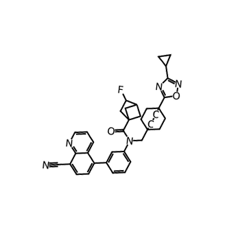 N#Cc1ccc(-c2cccc(N(CC34CCC(c5nc(C6CC6)no5)(CC3)CC4)C(=O)C34CC(F)C(C3)C4)c2)c2cccnc12